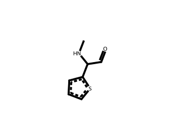 CNC(C=O)c1cccs1